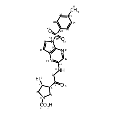 CC[C@@H]1CN(C(=O)O)C[C@@H]1C(=O)CNc1cnc2c(ccn2S(=O)(=O)c2ccc(C)cc2)n1